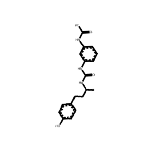 CC(CCc1ccc(O)cc1)NC(=O)Nc1cccc(NC(=O)C(C)C)c1